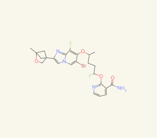 CC(CCC(F)Oc1ncccc1C(N)=O)Oc1c(Br)cn2cc(C34COC(C)(C3)C4)nc2c1F